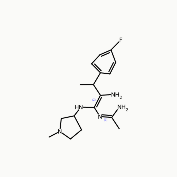 C/C(N)=N/C(NC1CCN(C)C1)=C(\N)C(C)c1ccc(F)cc1